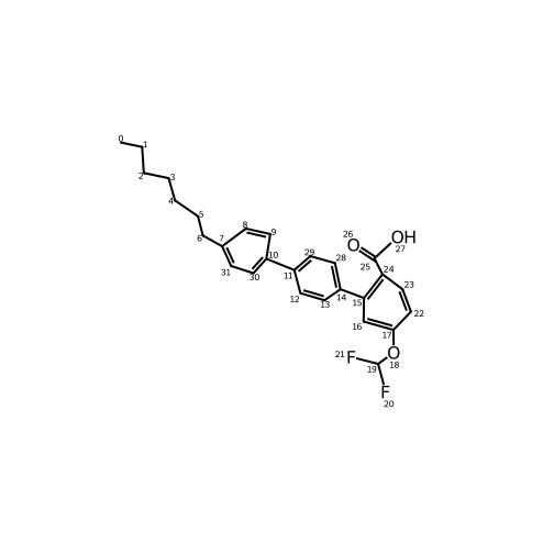 CCCCCCCc1ccc(-c2ccc(-c3cc(OC(F)F)ccc3C(=O)O)cc2)cc1